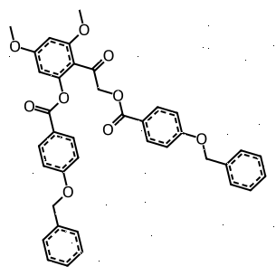 COc1cc(OC)c(C(=O)COC(=O)c2ccc(OCc3ccccc3)cc2)c(OC(=O)c2ccc(OCc3ccccc3)cc2)c1